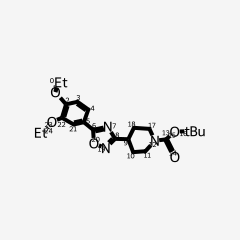 CCOc1ccc(-c2nc(C3CCN(C(=O)OC(C)(C)C)CC3)no2)cc1OCC